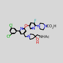 CC(=O)NCC1(O)CCN(Cc2cc(Oc3cnc(N4CCN(C(=O)O)CC4)c(F)c3)nc(-c3cc(Cl)cc(Cl)c3)c2)CC1